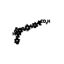 O=C(O)C12CC(N3CCN(CCN4CCC(COc5cc(F)c6c(=O)[nH]c(CSC7CCOCC7)nc6c5)CC4)CC3)(C1)C2